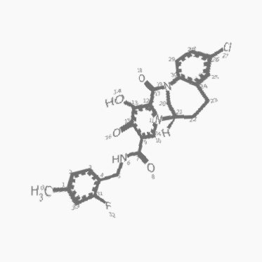 Cc1ccc(CNC(=O)c2cn3c(c(O)c2=O)C(=O)N2C[C@@H]3CCc3cc(Cl)ccc32)c(F)c1